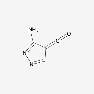 NC1=NN=CC1=C=O